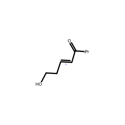 CC(C)C(=O)/C=C/CCO